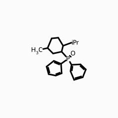 CC1CCC(C(C)C)C(P(=O)(c2ccccc2)c2ccccc2)C1